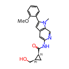 COc1ccccc1-c1cc2cc(NC(=O)[C@H]3C[C@H]3CO)ncc2n1C